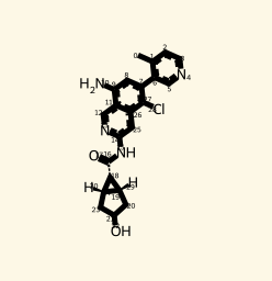 Cc1ccncc1-c1cc(N)c2cnc(NC(=O)[C@@H]3[C@@H]4CC(O)C[C@@H]43)cc2c1Cl